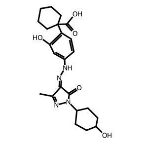 CC1=NN(C2CCC(O)CC2)C(=O)C1=NNc1ccc(C2(C(=O)O)CCCCC2)c(O)c1